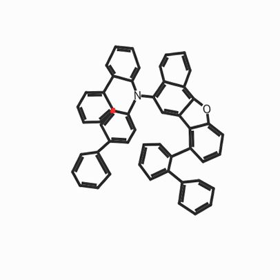 c1ccc(-c2ccc(N(c3ccccc3-c3ccccc3)c3cc4c(oc5cccc(-c6ccccc6-c6ccccc6)c54)c4ccccc34)cc2)cc1